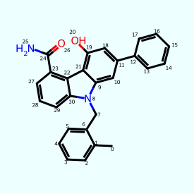 Cc1ccccc1Cn1c2cc(-c3ccccc3)cc(O)c2c2c(C(N)=O)cccc21